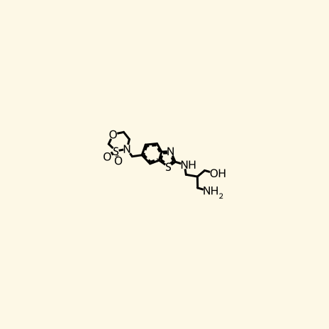 NCC(CO)CNc1nc2ccc(CN3CCOCS3(=O)=O)cc2s1